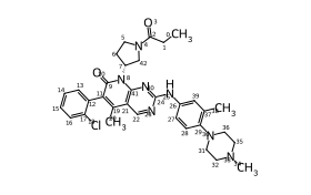 CCC(=O)N1CC[C@@H](n2c(=O)c(-c3ccccc3Cl)c(C)c3cnc(Nc4ccc(N5CCN(C)CC5)c(C)c4)nc32)C1